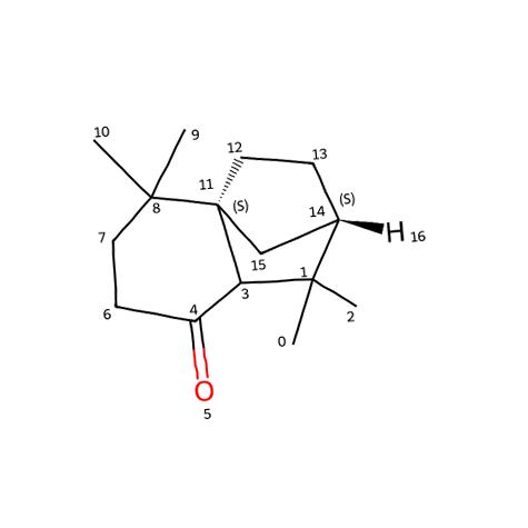 CC1(C)C2C(=O)CCC(C)(C)[C@]23CC[C@H]1C3